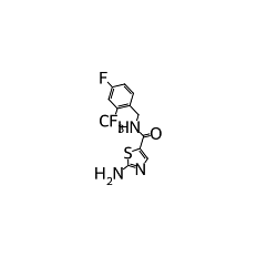 Nc1ncc(C(=O)NCc2ccc(F)cc2C(F)(F)F)s1